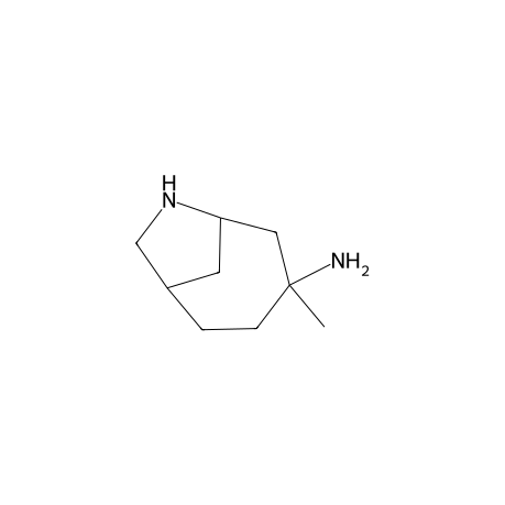 CC1(N)CCC2CNC(C2)C1